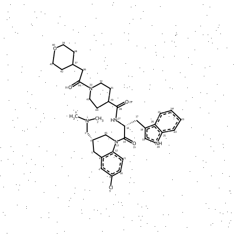 CN(C)C[C@H]1Cc2cc(Cl)ccc2N(C(=O)[C@@H](Cc2c[nH]c3ccccc23)NC(=O)C2CCN(C(=O)CC3CCOCC3)CC2)C1